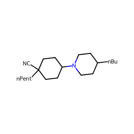 CCCCCC1(C#N)CCC(N2CCC(CCCC)CC2)CC1